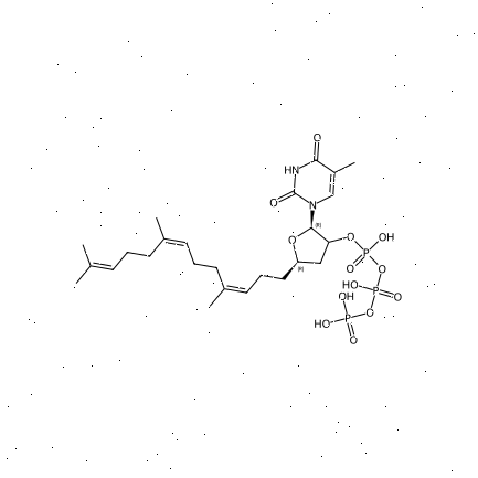 CC(C)=CCCC(C)=CCCC(C)=CCC[C@@H]1CC(OP(=O)(O)OP(=O)(O)OP(=O)(O)O)[C@H](n2cc(C)c(=O)[nH]c2=O)O1